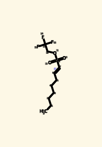 CCCCCC/C=C/S(=O)(=O)OCC(F)(F)F